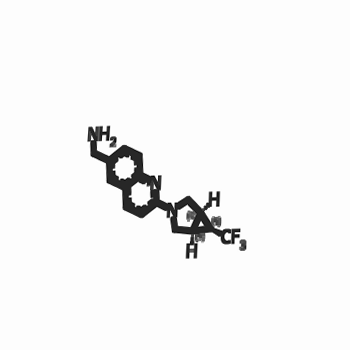 NCc1ccc2nc(N3C[C@@H]4[C@H](C3)[C@@H]4C(F)(F)F)ccc2c1